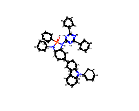 O=P1(c2ccccc2)N(c2ccccc2)c2ccc(-c3ccc4c(c3)c3ccccc3n4C3=CC=CCC3)cc2N1c1nc(-c2ccccc2)nc(-c2ccccc2)n1